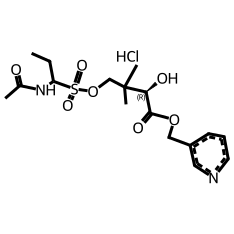 CCC(NC(C)=O)S(=O)(=O)OCC(C)(C)[C@@H](O)C(=O)OCc1cccnc1.Cl